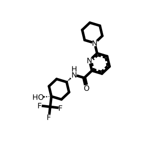 O=C(N[C@H]1CC[C@](O)(C(F)(F)F)CC1)c1cccc(N2CCCCC2)n1